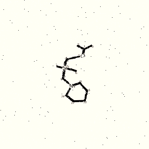 CC(C)OC[Si](C)(C)CN1CCCCC1